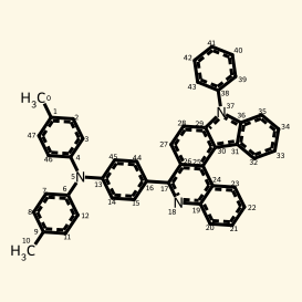 Cc1ccc(N(c2ccc(C)cc2)c2ccc(-c3nc4ccccc4c4c3ccc3c4c4ccccc4n3-c3ccccc3)cc2)cc1